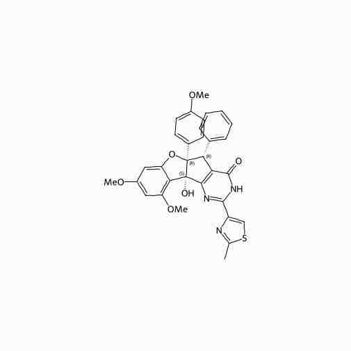 COc1ccc([C@@]23Oc4cc(OC)cc(OC)c4[C@]2(O)c2nc(-c4csc(C)n4)[nH]c(=O)c2[C@H]3c2ccccc2)cc1